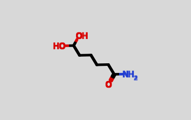 NC(=O)CCCCC(O)O